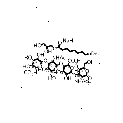 CC(=O)N[C@@H]1[C@@H](O[C@@H]2O[C@H](C(=O)O)[C@@H](O[C@@H]3O[C@H](CO)[C@@H](O)[C@H](O[C@@H]4O[C@H](C(=O)O)[C@@H](O)[C@H](O)[C@H]4O)[C@H]3NC(C)=O)[C@H](O)[C@H]2O)[C@H](O)[C@@H](CO)O[C@H]1O.CCCCCCCCCCCCCCCCCC(=O)OCC(O)CO.[NaH]